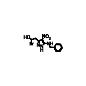 O=[N+]([O-])c1c(CC(O)Br)n[nH]c1NCc1ccccc1